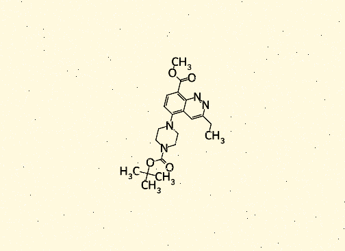 CCc1cc2c(N3CCN(C(=O)OC(C)(C)C)CC3)ccc(C(=O)OC)c2nn1